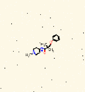 CN1CCC(NC(=O)C(C)(C)COc2ccccc2)CC1